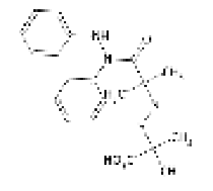 CC(C)(SSC(C)(C)C(=O)N(Nc1ccccc1)c1ccccc1)C(=O)O